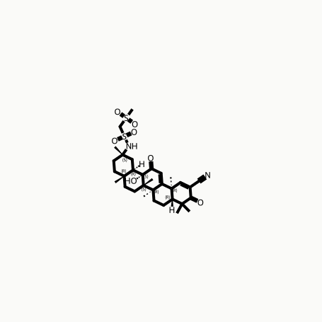 CC1(C)C(=O)C(C#N)=C[C@]2(C)C3=CC(=O)[C@]4(O)[C@@H]5C[C@@](C)(NS(=O)(=O)CS(C)(=O)=O)CC[C@@]5(C)CC[C@@]4(C)[C@]3(C)CC[C@@H]12